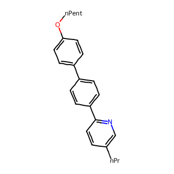 CCCCCOc1ccc(-c2ccc(-c3ccc(CCC)cn3)cc2)cc1